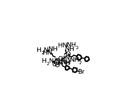 N=C(N)NCCC[C@H](NC(=O)[C@H](Cc1ccc(-c2ccc(Br)cc2)cc1)NC(=O)[C@H](CCCNC(=N)N)NC(=O)C(N)Cc1ccc(-c2ccccc2)cc1)C(N)=O